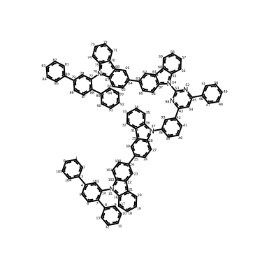 c1ccc(-c2ccc(-c3ccccc3)c(-n3c4ccccc4c4cc(-c5ccc6c(c5)c5ccccc5n6-c5cccc(-c6cc(-c7ccccc7)nc(-n7c8ccccc8c8cc(-c9ccc%10c(c9)c9ccccc9n%10-c9cc(-c%10ccccc%10)ccc9-c9ccccc9)ccc87)n6)c5)ccc43)c2)cc1